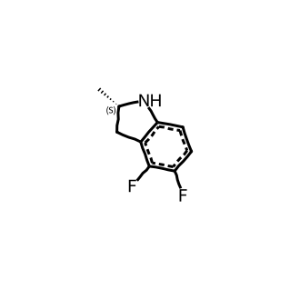 C[C@H]1Cc2c(ccc(F)c2F)N1